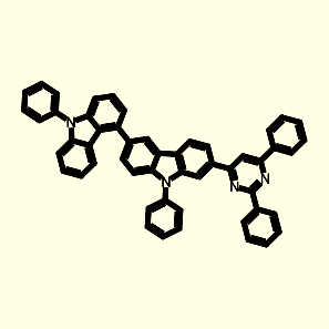 c1ccc(-c2cc(-c3ccc4c5cc(-c6cccc7c6c6ccccc6n7-c6ccccc6)ccc5n(-c5ccccc5)c4c3)nc(-c3ccccc3)n2)cc1